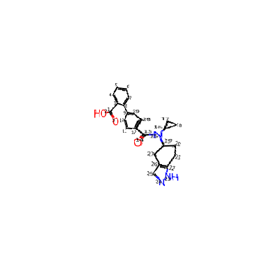 O=C(O)c1ccccc1-c1ccc(C(=O)N(C2CC2)C2CCc3[nH]ncc3C2)cc1